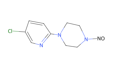 O=NN1CCN(c2ccc(Cl)cn2)CC1